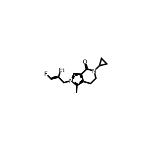 CC/C(=C\F)Cn1cc2c(c1C)CCN(C1CC1)C2=O